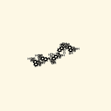 Nc1c(N=Nc2ccc3cc(S(=O)(=O)O)c(N=Nc4c(S(=O)(=O)O)ccc5c(S(=O)(=O)O)cc(S)cc45)c(O)c3c2)c(S(=O)(=O)O)cc2cc(S(=O)(=O)O)c(N=Nc3ccc4c(O)c(N=Nc5cc(S(=O)(=O)O)cc6cccc(S(=O)(=O)O)c56)c(S(=O)(=O)O)cc4c3)c(O)c12